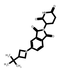 CC(C)(C)C1CN(c2ccc3c(c2)C(=O)N(C2CCC(=O)NC2=O)C3=O)C1